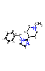 CN1CCC(c2nccn2Cc2ccccc2)CC1